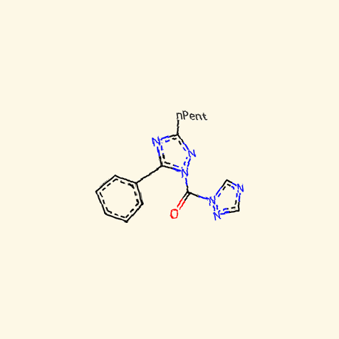 CCCCCc1nc(-c2ccccc2)n(C(=O)n2cncn2)n1